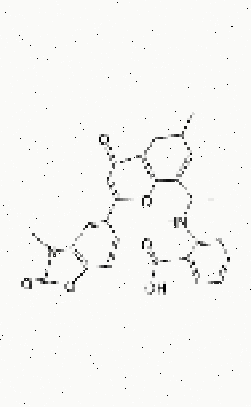 CC1C=C(C(C)Nc2ccccc2C(=O)O)c2oc(-c3ccc4oc(=O)n(C)c4c3)cc(=O)c2C1